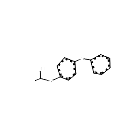 CCC(N)Nc1ccc(Nc2ccccc2)cc1